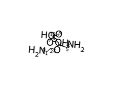 NCCOCCN.O=S(=O)(O)O